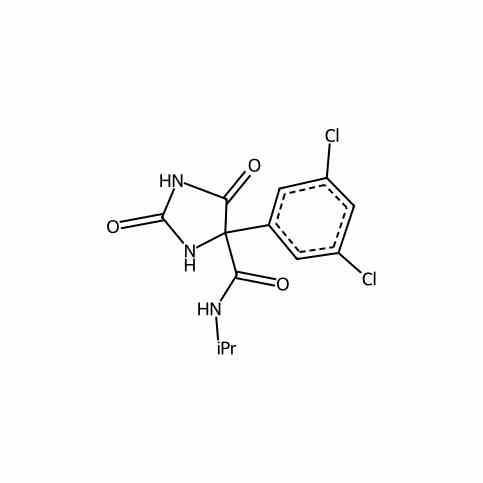 CC(C)NC(=O)C1(c2cc(Cl)cc(Cl)c2)NC(=O)NC1=O